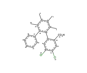 Cc1c(C)c(C)c(-c2cc(Cl)c(Cl)cc2C(=O)O)c(-c2ccccc2)c1C